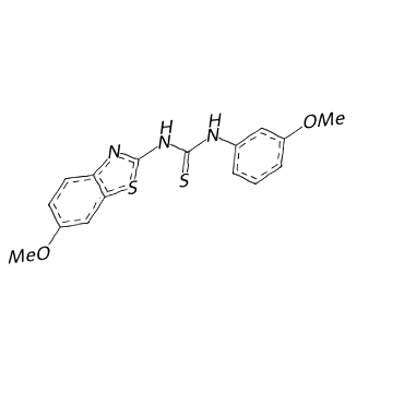 COc1cccc(NC(=S)Nc2nc3ccc(OC)cc3s2)c1